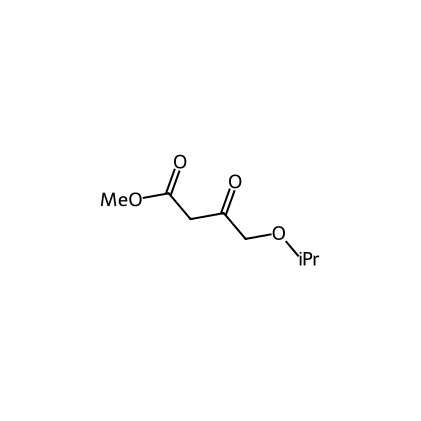 COC(=O)CC(=O)COC(C)C